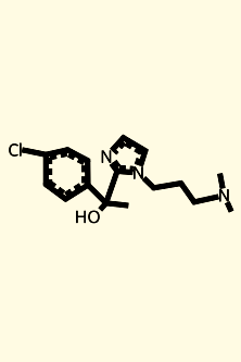 CN(C)CCCn1ccnc1C(C)(O)c1ccc(Cl)cc1